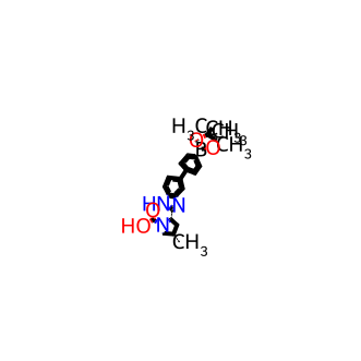 C[C@H]1C[C@@H](c2nc3cc(-c4ccc(B5OC(C)(C)C(C)(C)O5)cc4)ccc3[nH]2)N(C(=O)O)C1